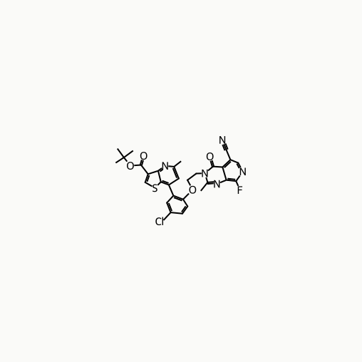 Cc1cc(-c2cc(Cl)ccc2OCCn2c(C)nc3c(F)ncc(C#N)c3c2=O)c2scc(C(=O)OC(C)(C)C)c2n1